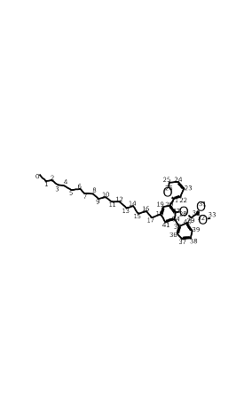 CCCCCCCCCCCCCCCCCCc1cc(C2=CC=CCO2)c(OCC(=O)OC)c(-c2ccccc2)c1